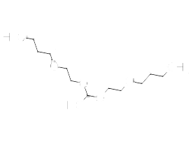 CCCCOCCOC(C)OCCOCCCC